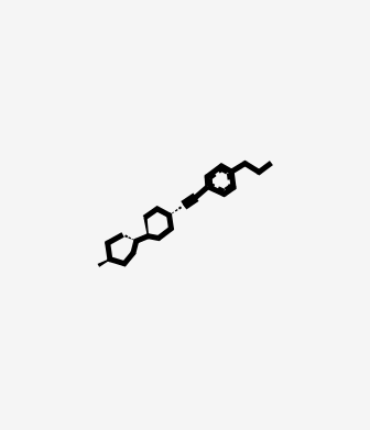 CCCc1ccc(C#C[C@H]2CC[C@H]([C@H]3CC[C@H](C)CC3)CC2)cc1